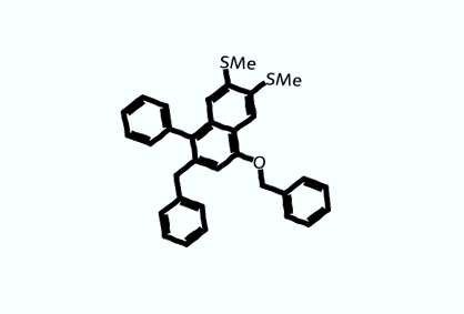 CSc1cc2c(OCc3ccccc3)cc(Cc3ccccc3)c(-c3ccccc3)c2cc1SC